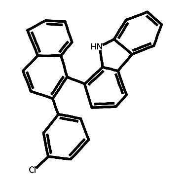 Clc1cccc(-c2ccc3ccccc3c2-c2cccc3c2[nH]c2ccccc23)c1